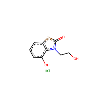 Cl.O=c1sc2cccc(O)c2n1CCO